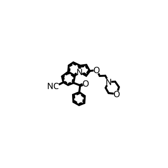 N#Cc1cc(C(=O)c2ccccc2)c2c(ccc3cc(OCCN4CCOCC4)cn32)c1